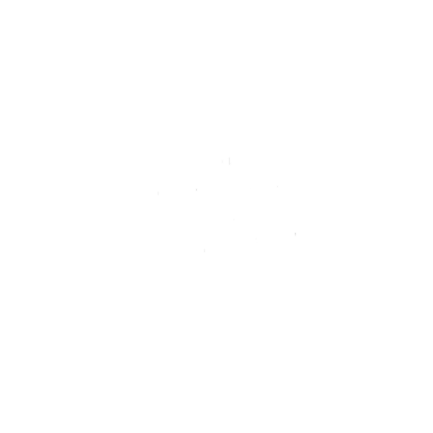 Cc1cccc(C(C(=O)Cl)=C(Cl)Cl)c1